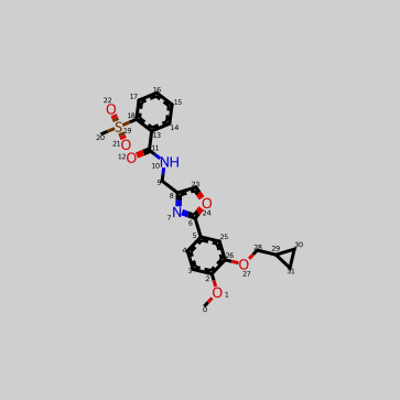 COc1ccc(-c2nc(CNC(=O)c3ccccc3S(C)(=O)=O)co2)cc1OCC1CC1